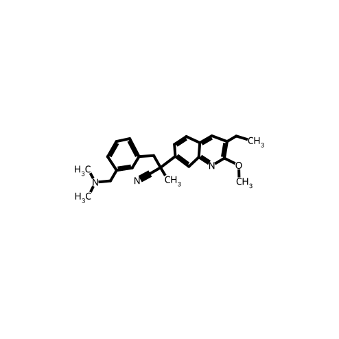 CCc1cc2ccc(C(C)(C#N)Cc3cccc(CN(C)C)c3)cc2nc1OC